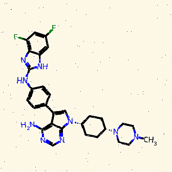 CN1CCN([C@H]2CC[C@@H](n3cc(-c4ccc(Nc5nc6c(F)cc(F)cc6[nH]5)cc4)c4c(N)ncnc43)CC2)CC1